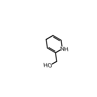 OCC1=CCC=CN1